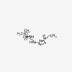 CCCNc1ncnc(NCCNC(=O)OC(C)(C)C)n1